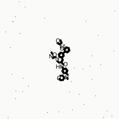 C1CCOC1.CCOc1ccccc1-c1ccc2c(c1)C=C(C(=O)Nc1ccc(CN(C)C3CCOCC3)cc1)CCN2c1cnc(C)o1